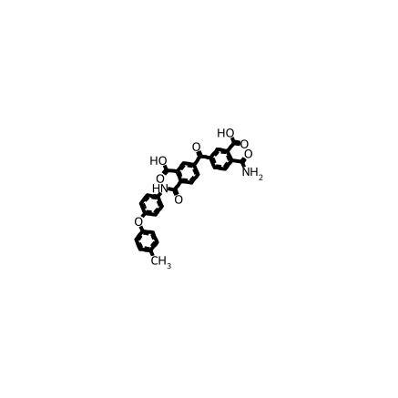 Cc1ccc(Oc2ccc(NC(=O)c3ccc(C(=O)c4ccc(C(N)=O)c(C(=O)O)c4)cc3C(=O)O)cc2)cc1